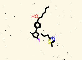 CCCCCC(O)c1ccc(C2[C@@H](CCCc3ncc(C)s3)C(I)C[C@H]2C)cc1